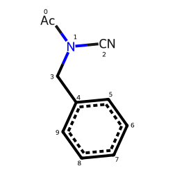 CC(=O)N(C#N)Cc1ccccc1